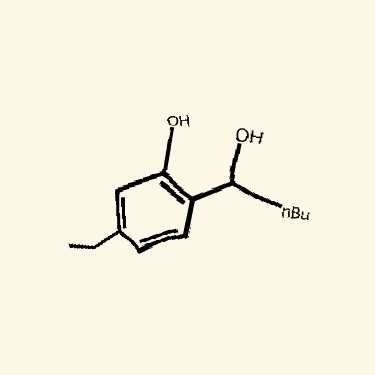 CCCCC(O)c1ccc(C)cc1O